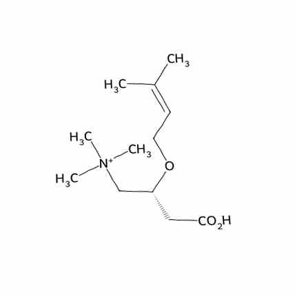 CC(C)=CCO[C@H](CC(=O)O)C[N+](C)(C)C